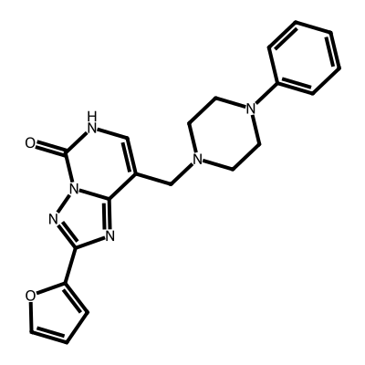 O=c1[nH]cc(CN2CCN(c3ccccc3)CC2)c2nc(-c3ccco3)nn12